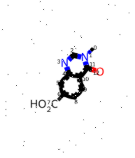 Cn1cnc2cc(C(=O)O)ccc2c1=O